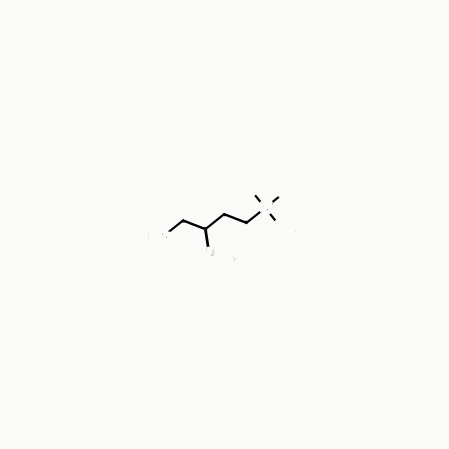 C[N+](C)(C)CCC(N)CN.Cl